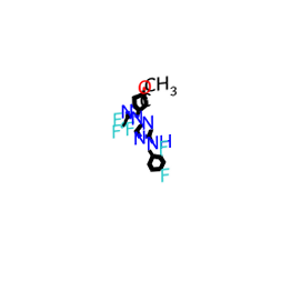 COc1ccc2c(c1)nc(C(F)(F)F)n2-c1cnc(NCc2ccc(F)cc2F)cn1